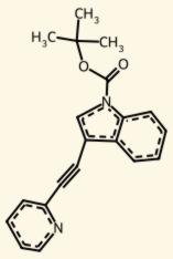 CC(C)(C)OC(=O)n1cc(C#Cc2ccccn2)c2ccccc21